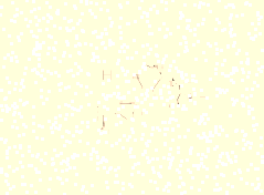 CCOC(=O)c1coc(-c2cc(NC(C)=O)ncc2C)c1